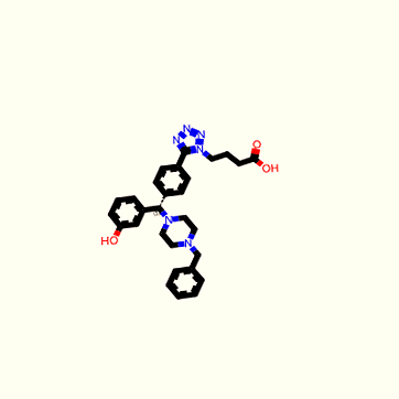 O=C(O)CCCn1nnnc1-c1ccc([C@@H](c2cccc(O)c2)N2CCN(Cc3ccccc3)CC2)cc1